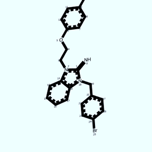 N=c1n(CCOc2ccc(Br)cc2)c2ccccc2n1Cc1ccc(Br)cc1